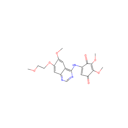 COCCOc1cc2ncnc(NC3=CC(=O)C(OC)=C(OC)C3=O)c2cc1OC